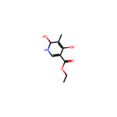 CCOC(=O)C1=CNC(O)C(C)=C1O